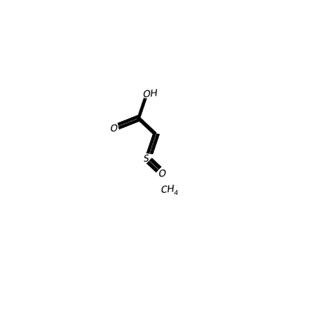 C.O=S=CC(=O)O